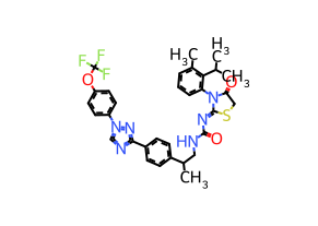 Cc1cccc(N2C(=O)CS/C2=N\C(=O)NCC(C)c2ccc(-c3ncn(-c4ccc(OC(F)(F)F)cc4)n3)cc2)c1C(C)C